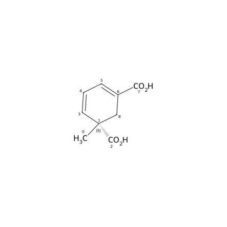 C[C@@]1(C(=O)O)C=CC=C(C(=O)O)C1